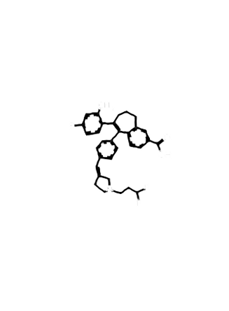 Cc1cc(F)ccc1C1=C(c2ccc(C=C3CCN(CCC(F)F)C3)cc2)c2ccc(C(=O)O)cc2CCC1